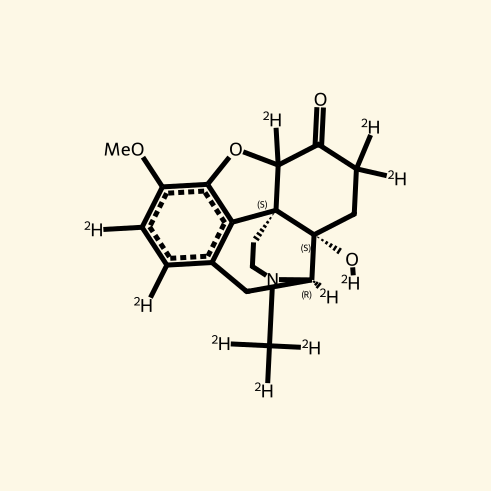 [2H]O[C@@]12CC([2H])([2H])C(=O)C3([2H])Oc4c(OC)c([2H])c([2H])c5c4[C@@]31CCN(C([2H])([2H])[2H])[C@]2([2H])C5